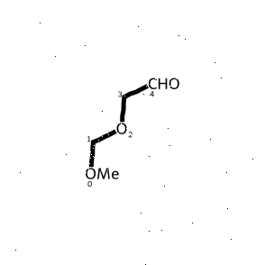 COCOCC=O